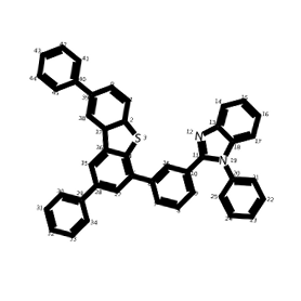 C1=CC2Sc3c(-c4cccc(-c5nc6ccccc6n5-c5ccccc5)c4)cc(-c4ccccc4)cc3C2C=C1c1ccccc1